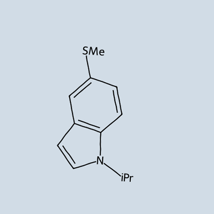 CSc1ccc2c(ccn2C(C)C)c1